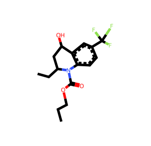 CCCOC(=O)N1c2ccc(C(F)(F)F)cc2C(O)CC1CC